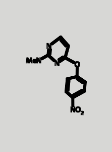 CNc1nccc(Oc2ccc([N+](=O)[O-])cc2)n1